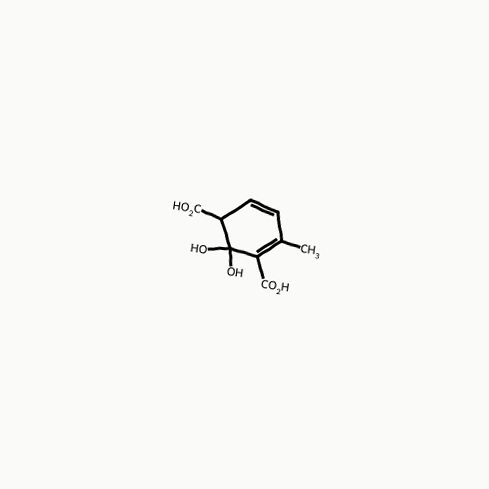 CC1=C(C(=O)O)C(O)(O)C(C(=O)O)C=C1